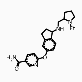 CCN1CCCC1CNC1CCc2cc(Oc3ccc(C(N)=O)cn3)ccc21